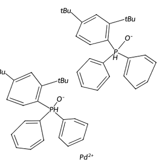 CC(C)(C)c1ccc([PH]([O-])(c2ccccc2)c2ccccc2)c(C(C)(C)C)c1.CC(C)(C)c1ccc([PH]([O-])(c2ccccc2)c2ccccc2)c(C(C)(C)C)c1.[Pd+2]